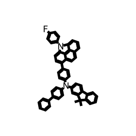 CC1(C)c2ccccc2-c2ccc(N(c3ccc(-c4ccccc4)cc3)c3ccc(-c4ccc5c6c4ccc4cccc(c46)n5-c4ccc(F)cc4)cc3)cc21